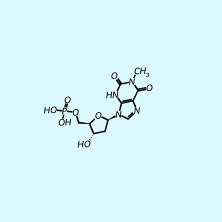 Cn1c(=O)[nH]c2c(ncn2[C@H]2C[C@H](O)[C@@H](COP(=O)(O)O)O2)c1=O